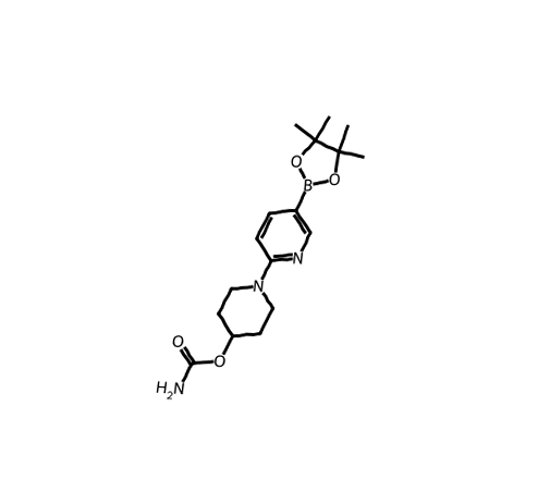 CC1(C)OB(c2ccc(N3CCC(OC(N)=O)CC3)nc2)OC1(C)C